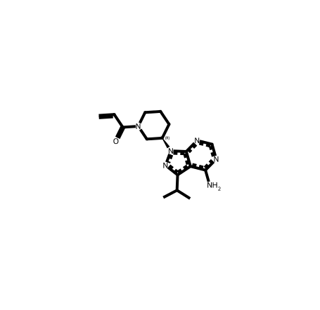 C=CC(=O)N1CCC[C@@H](n2nc(C(C)C)c3c(N)ncnc32)C1